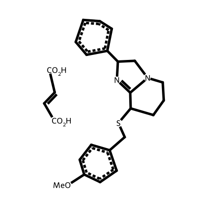 COc1ccc(CSC2CCCN3CC(c4ccccc4)N=C23)cc1.O=C(O)/C=C/C(=O)O